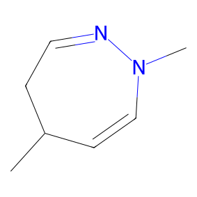 CC1C=CN(C)N=CC1